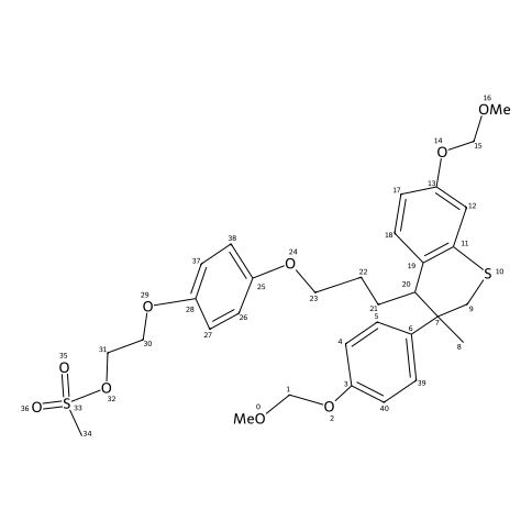 COCOc1ccc(C2(C)CSc3cc(OCOC)ccc3C2CCCOc2ccc(OCCOS(C)(=O)=O)cc2)cc1